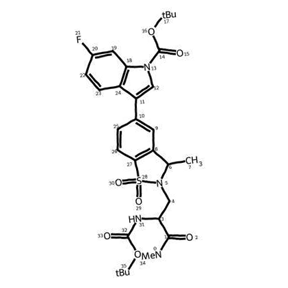 CNC(=O)C(CN1C(C)c2cc(-c3cn(C(=O)OC(C)(C)C)c4cc(F)ccc34)ccc2S1(=O)=O)NC(=O)OC(C)(C)C